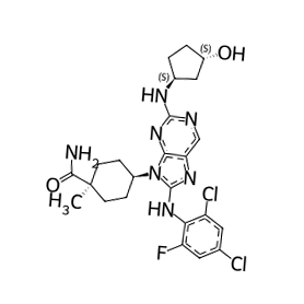 C[C@]1(C(N)=O)CC[C@@H](n2c(Nc3c(F)cc(Cl)cc3Cl)nc3cnc(N[C@H]4CC[C@H](O)C4)nc32)CC1